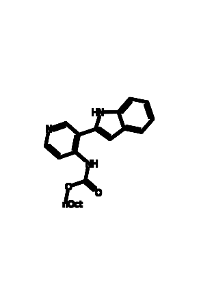 CCCCCCCCOC(=O)Nc1ccncc1-c1cc2ccccc2[nH]1